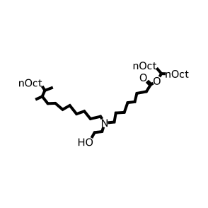 CCCCCCCCC(CCCCCCCC)OC(=O)CCCCCCCN(CCO)CCCCCCCCC(C)C(C)CCCCCCCC